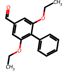 CCOc1cc(C=O)cc(OCC)c1-c1ccccc1